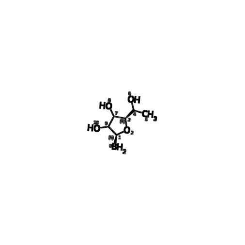 B[C@@H]1O[C@H](C(C)O)C(O)C1O